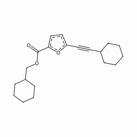 O=C(OCC1CCCCC1)c1ccc(C#CC2CCCCC2)o1